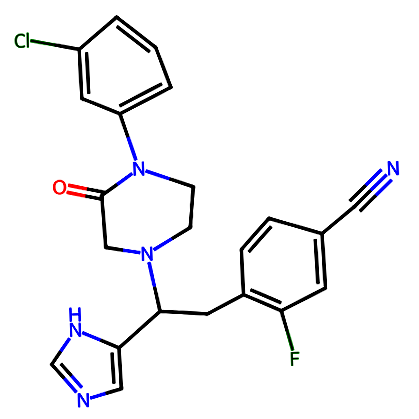 N#Cc1ccc(CC(c2cnc[nH]2)N2CCN(c3cccc(Cl)c3)C(=O)C2)c(F)c1